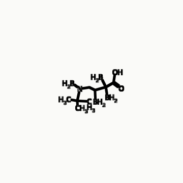 BC(CN(B)C(C)(C)C)C(B)(B)C(=O)O